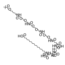 CC(C)(C)C(=O)COCCCCCNC(=O)COCCOCCNC(=O)COCCOCCNC(=O)COCCOCCNC(=O)CC[C@H](NC(=O)CC[C@H](NC(=O)CC[C@H](NC(=O)CCCCCCCCCCCCCCCCC(=O)O)C(=O)O)C(=O)O)C(=O)O